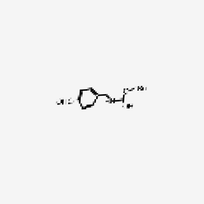 CC(C)(C)OC(O)NCc1ccc(C=O)cc1